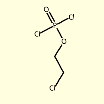 O=P(Cl)(Cl)OCCCl